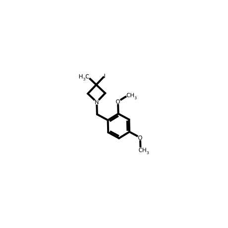 COc1ccc(CN2CC(C)(I)C2)c(OC)c1